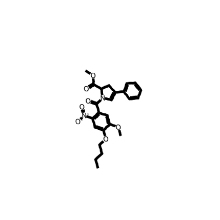 CCCCOc1cc([N+](=O)[O-])c(C(=O)N2C=C(c3ccccc3)CC2C(=O)OC)cc1OC